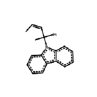 C/C=C\C(C)(C(C)C)n1c2ccccc2c2ccccc21